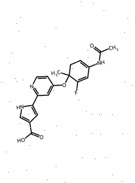 CC(=O)NC1=CCC(C)(Oc2ccnc(-c3cc(C(=O)O)c[nH]3)c2)C(F)=C1